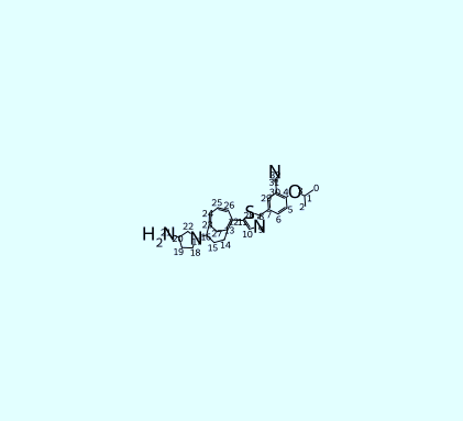 CC(C)Oc1ccc(-c2ncc(C3=C4CCC(N5CCC(N)C5)C(=CC=C3)C4)s2)cc1C#N